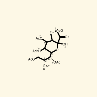 COC(=O)C1(O)OC([C@H](OC(C)=O)[C@@H](COC(C)=O)OC(C)=O)C(NC(C)=O)C(OC(C)=O)C1F